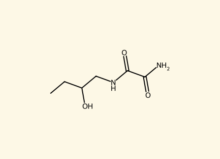 CCC(O)CNC(=O)C(N)=O